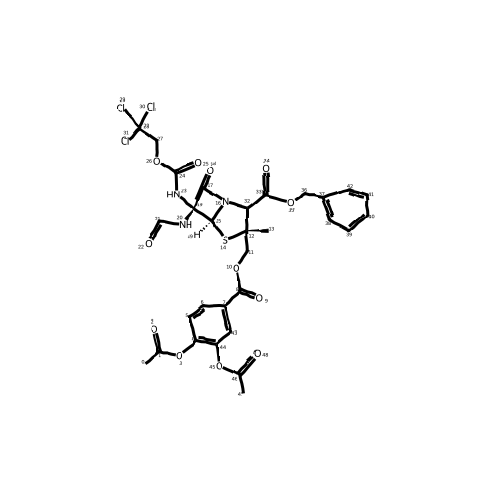 CC(=O)Oc1ccc(C(=O)OC[C@]2(C)S[C@@H]3N(C(=O)[C@@]3(NC=O)NC(=O)OCC(Cl)(Cl)Cl)C2C(=O)OCc2ccccc2)cc1OC(C)=O